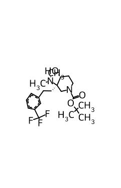 CN(C)[C@]1(CCc2cccc(C(F)(F)F)c2)CN(C(=O)OC(C)(C)C)CC[C@H]1O